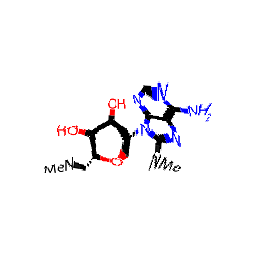 CNC[C@H]1O[C@@H](n2c(NC)nc3c(N)ncnc32)C(O)C1O